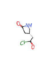 O=C(Cl)C[C@H]1CNC(=O)C1